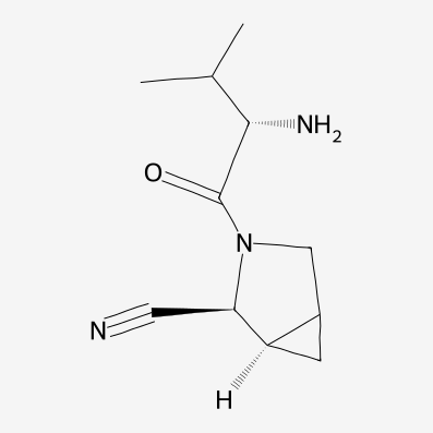 CC(C)[C@H](N)C(=O)N1CC2C[C@H]2[C@H]1C#N